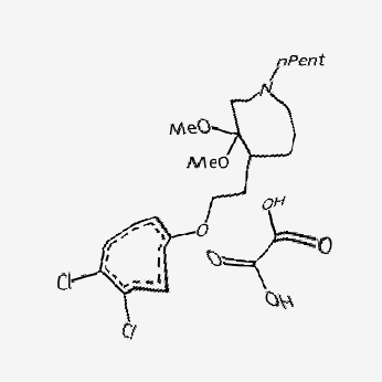 CCCCCN1CCC(CCOc2ccc(Cl)c(Cl)c2)C(OC)(OC)C1.O=C(O)C(=O)O